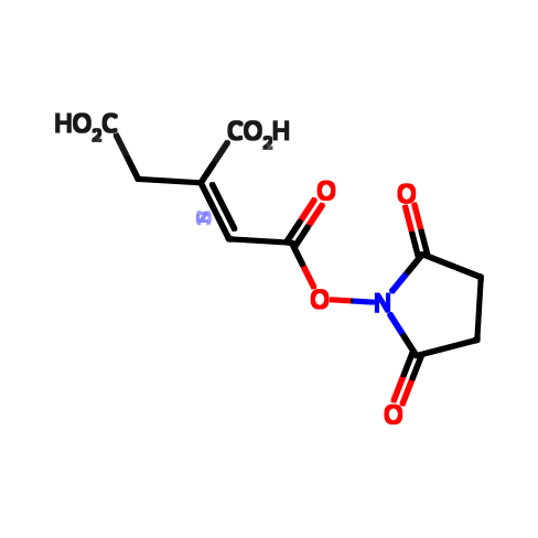 O=C(O)C/C(=C/C(=O)ON1C(=O)CCC1=O)C(=O)O